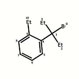 [B]C(CC)(CC)c1ccccc1CC